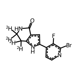 [2H]C1([2H])NC(=O)c2cc(-c3ccnc(Br)c3F)[nH]c2C1([2H])[2H]